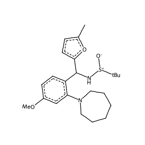 COc1ccc(C(N[S+]([O-])C(C)(C)C)c2ccc(C)o2)c(N2CCCCCC2)c1